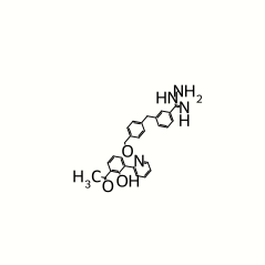 CC(=O)c1ccc(OCc2ccc(Cc3cccc(C(=N)NN)c3)cc2)c(-c2ccccn2)c1O